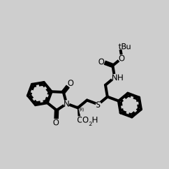 CC(C)(C)OC(=O)NCC(SC[C@@H](C(=O)O)N1C(=O)c2ccccc2C1=O)c1ccccc1